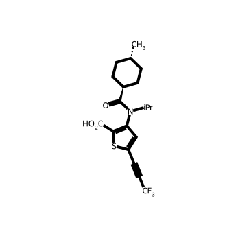 CC(C)N(c1cc(C#CC(F)(F)F)sc1C(=O)O)C(=O)[C@H]1CC[C@H](C)CC1